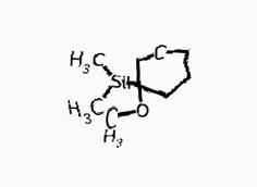 COC1([SiH](C)C)CCCCC1